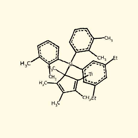 CCc1cc(CC)cc([Si](c2cccc(C)c2C)(c2cccc(C)c2C)C2(C)C(C)=C(C)C(C)=[C]2[Ti])c1